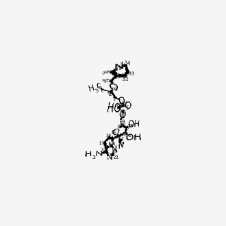 CC[C@H](COP(=O)(O)OC[C@H]1O[C@@](C#N)(c2ccc3c(N)ncnn23)[C@@H](O)C1O)OCc1cccnc1